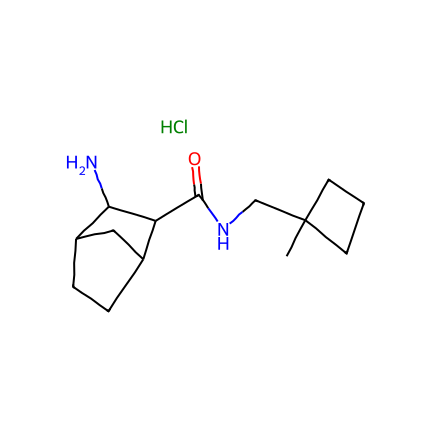 CC1(CNC(=O)C2C3CCC(C3)C2N)CCC1.Cl